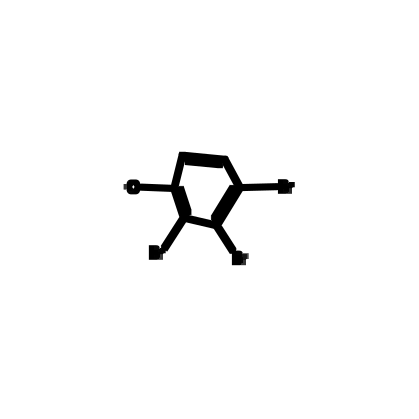 [O]c1ccc(Br)c(Br)c1Br